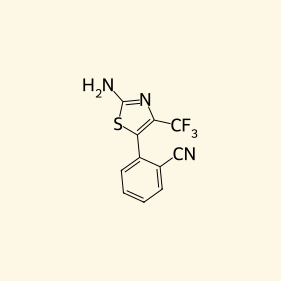 N#Cc1ccccc1-c1sc(N)nc1C(F)(F)F